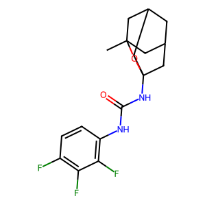 CC12CC3CC(C1)CC(NC(=O)Nc1ccc(F)c(F)c1F)(C3)O2